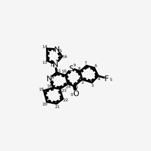 O=c1c2cc(F)ccc2sc2c(-n3ccnc3)nc3ccccc3c12